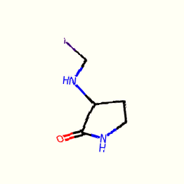 O=C1NCCC1NCI